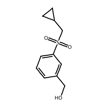 O=S(=O)(CC1CC1)c1cccc(CO)c1